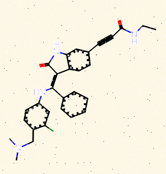 CCNC(=O)C#Cc1ccc2c(c1)NC(=O)/C2=C(\Nc1ccc(CN(C)C)c(Cl)c1)c1ccccc1